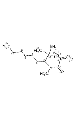 C=C(C)C(=O)C(C)C(CCCCCC)C(C)(C)N